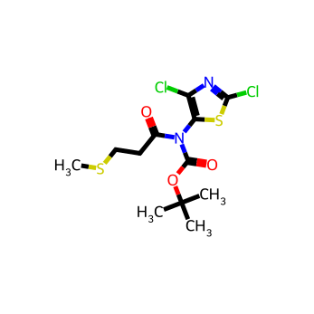 CSCCC(=O)N(C(=O)OC(C)(C)C)c1sc(Cl)nc1Cl